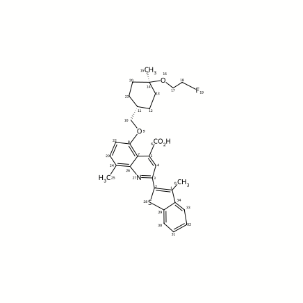 Cc1c(-c2cc(C(=O)O)c3c(OC[C@H]4CC[C@](C)(OCCF)CC4)ccc(C)c3n2)sc2ccccc12